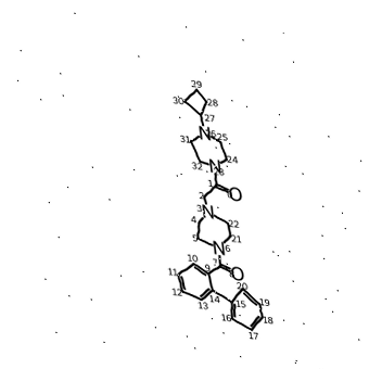 O=C(CN1CCN(C(=O)c2ccccc2-c2ccccc2)CC1)N1CCN(C2CCC2)CC1